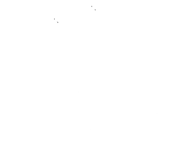 C1=CC(c2cccc3c2sc2c(-c4ccccc4)cccc23)NC=N1